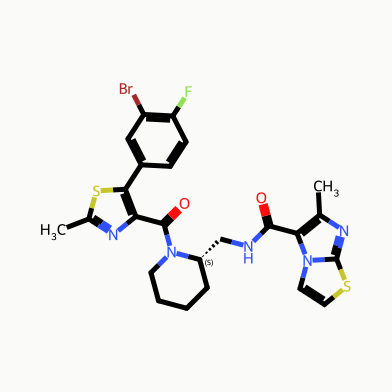 Cc1nc(C(=O)N2CCCC[C@H]2CNC(=O)c2c(C)nc3sccn23)c(-c2ccc(F)c(Br)c2)s1